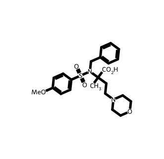 COc1ccc(S(=O)(=O)N(Cc2ccccc2)C(C)(CCN2CCOCC2)C(=O)O)cc1